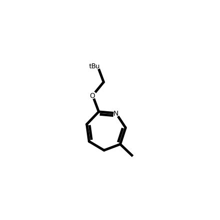 CC1=CN=C(OCC(C)(C)C)C=CC1